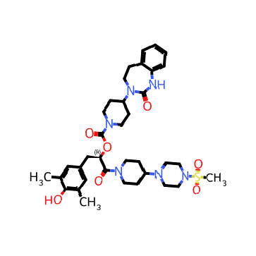 Cc1cc(C[C@@H](OC(=O)N2CCC(N3CCc4ccccc4NC3=O)CC2)C(=O)N2CCC(N3CCN(S(C)(=O)=O)CC3)CC2)cc(C)c1O